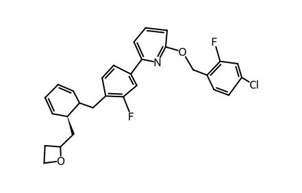 Fc1cc(Cl)ccc1COc1cccc(-c2ccc(CC3C=CC=C[C@@H]3CC3CCO3)c(F)c2)n1